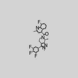 Cc1cc(C(=O)N2CCc3c(nn(C)c3-c3cc(F)c(F)c(F)c3)[C@@H]2C)c2cccc(F)c2n1